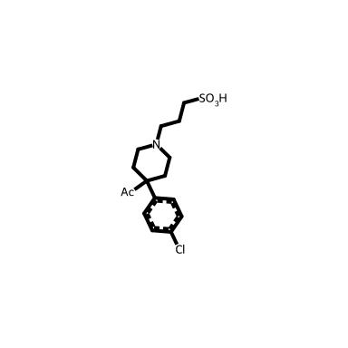 CC(=O)C1(c2ccc(Cl)cc2)CCN(CCCS(=O)(=O)O)CC1